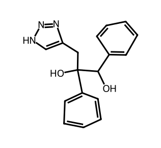 OC(c1ccccc1)C(O)(Cc1c[nH]nn1)c1ccccc1